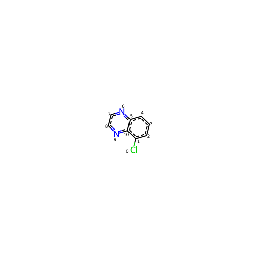 Clc1cccc2nccnc12